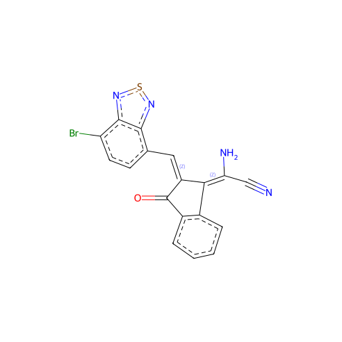 N#C/C(N)=C1/C(=C/c2ccc(Br)c3nsnc23)C(=O)c2ccccc21